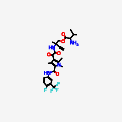 C#CC(C)(COC(=O)C(N)C(C)C)NC(=O)C(=O)c1c(C)c(C(=O)Nc2ccc(F)c(C(F)(F)F)c2)n(C)c1C